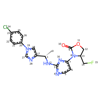 C[C@H](Nc1nccc(N2C(=O)OCC2CF)n1)c1cn(-c2ccc(Cl)cc2)cn1